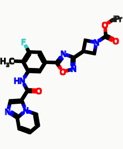 Cc1c(F)cc(-c2nc(C3CN(C(=O)OC(C)C)C3)no2)cc1NC(=O)c1cnc2ccccn12